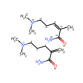 C=C(CCCN(C)C)C(N)=O.CC(=CCCN(C)C)C(N)=O